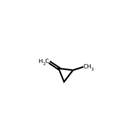 C=C1CC1C